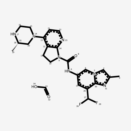 Cc1cn2cc(NC(=O)N3CCc4c(N5CCN[C@@H](C)C5)ccnc43)cc(C(F)F)c2n1.O=CO